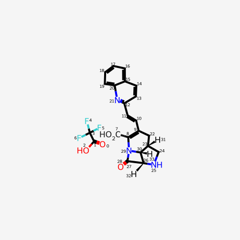 O=C(O)C(F)(F)F.O=C(O)C1=C(/C=C/c2ccc3ccccc3n2)C[C@@H]2CN[C@@H]3C(=O)N1[C@H]23